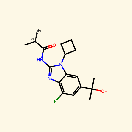 CC(C)[C@H](C)C(=O)Nc1nc2c(F)cc(C(C)(C)O)cc2n1C1CCC1